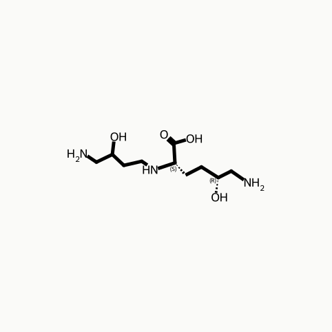 NCC(O)CCN[C@@H](CC[C@@H](O)CN)C(=O)O